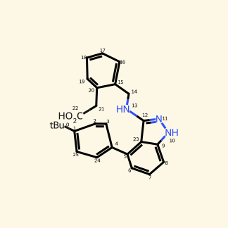 CC(C)(C)c1ccc(-c2cccc3[nH]nc(NCc4ccccc4CC(=O)O)c23)cc1